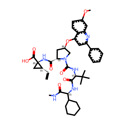 C=C[C@@H]1C[C@]1(NC(=O)[C@@H]1C[C@@H](Oc2cc(-c3ccccc3)nc3cc(OC)ccc23)CN1C(=O)N[C@H](C(=O)N[C@H](C(=O)NC)C1CCCCC1)C(C)(C)C)C(=O)O